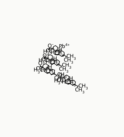 CC(C)C1=CC2=CC[C@@H]3[C@](C)(CCC[C@@]3(C)C(=O)[O-])[C@H]2CC1.CC(C)C1=CC2=CC[C@@H]3[C@](C)(CCC[C@@]3(C)C(=O)[O-])[C@H]2CC1.CC(C)C1=CC2=CC[C@@H]3[C@](C)(CCC[C@@]3(C)C(=O)[O-])[C@H]2CC1.CC(C)C1=CC2=CC[C@@H]3[C@](C)(CCC[C@@]3(C)C(=O)[O-])[C@H]2CC1.[Pb+4]